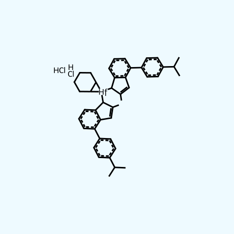 CC1=Cc2c(-c3ccc(C(C)C)cc3)cccc2[CH]1[Hf]1([CH]2C(C)=Cc3c(-c4ccc(C(C)C)cc4)cccc32)[CH]2CCCC[CH]21.Cl.Cl